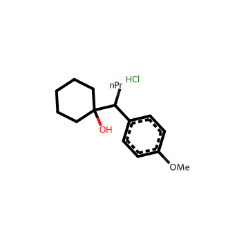 CCCC(c1ccc(OC)cc1)C1(O)CCCCC1.Cl